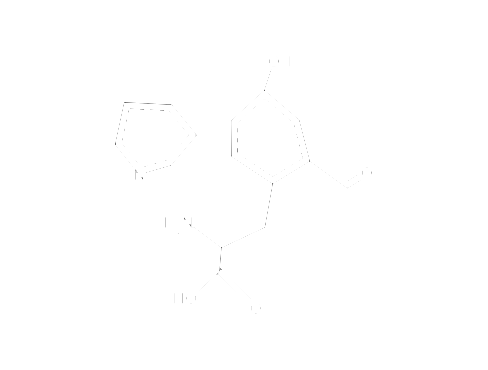 NC(Cc1ccc(O)cc1C=O)C(=O)O.c1ccncc1